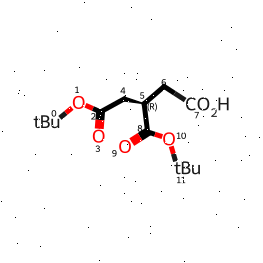 CC(C)(C)OC(=O)C[C@@H](CC(=O)O)C(=O)OC(C)(C)C